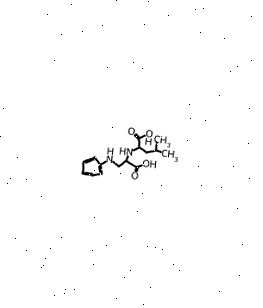 CC(C)CC(NC(CNc1ccccc1)C(=O)O)C(=O)O